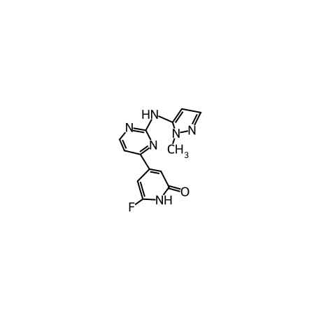 Cn1nccc1Nc1nccc(-c2cc(F)[nH]c(=O)c2)n1